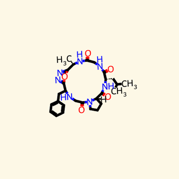 CC(C)C[C@@H]1NC(=O)[C@@H]2CCCN2C(=O)CNC(Cc2ccccc2)c2nnc(o2)[C@H](C)NC(=O)CNC1=O